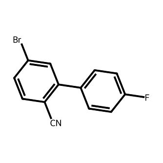 N#Cc1ccc(Br)cc1-c1ccc(F)cc1